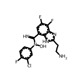 N=C(c1cc(F)c(F)c2nc(CCN)[nH]c12)N(O)c1ccc(F)c(Cl)c1